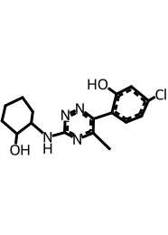 Cc1nc(NC2CCCCC2O)nnc1-c1ccc(Cl)cc1O